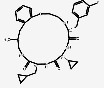 C[C@@H]1CNC(=O)[C@H](CC2CC2)NC(=O)[C@@H](C2CC2)NC(=O)[C@@H](Cc2cccc(F)c2)NCCOc2ccccc2C1